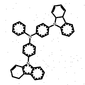 C1=CC2c3ccccc3N(c3ccc(N(c4ccccc4)c4ccc(-n5c6c(c7ccccc75)CCC=C6)cc4)cc3)C2C=C1